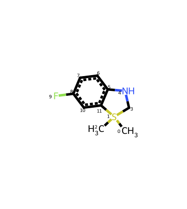 CS1(C)CNc2ccc(F)cc21